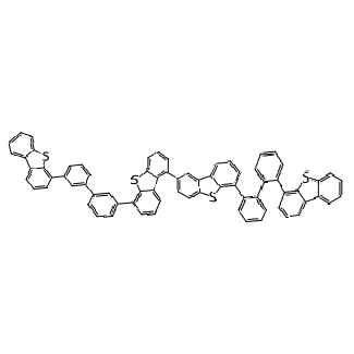 c1cc(-c2cccc(-c3cccc4c3sc3cccc(-c5ccc6sc7c(-c8ccccc8-c8ccccc8-c8cccc9c8sc8ccccc89)cccc7c6c5)c34)c2)cc(-c2cccc3c2sc2ccccc23)c1